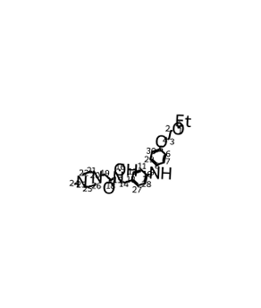 CCOCCOc1ccc(Nc2ccc(CN(O)C(=O)CN3CCN(C)CC3)cc2)cc1